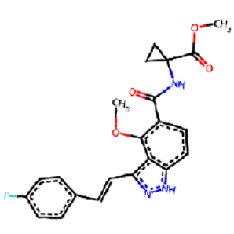 COC(=O)C1(NC(=O)c2ccc3[nH]nc(C=Cc4ccc(F)cc4)c3c2OC)CC1